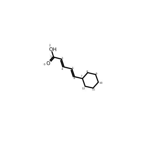 O=C(O)/C=C/C=C/C1CCCCC1